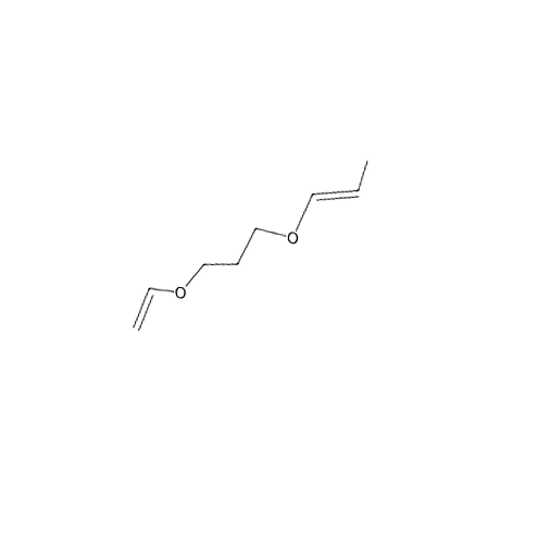 C=COCCCOC=CC